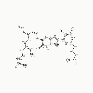 C=C/C=C(\C=C/Cn1cc2cc(-c3cc(CCC[C@H](C)N)cc(Cl)c3F)[nH]c2nc1=O)CO[C@@H](CN)CCNC(C)=N